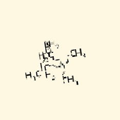 BOCCCCC.CCC[N+](CCC)(CCC)CCC